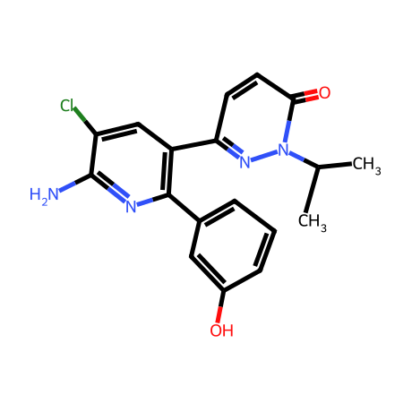 CC(C)n1nc(-c2cc(Cl)c(N)nc2-c2cccc(O)c2)ccc1=O